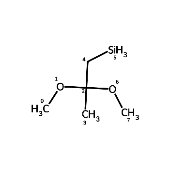 COC(C)(C[SiH3])OC